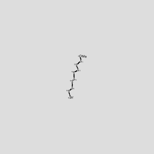 COSSSSSSSSS